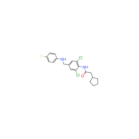 O=C(CC1CCCC1)Nc1c(Cl)cc(CNc2ccc(F)cc2)cc1Cl